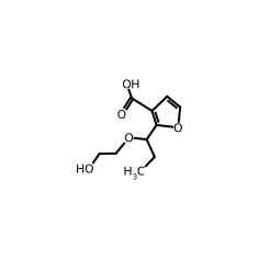 CCC(OCCO)c1occc1C(=O)O